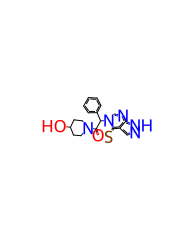 O=C(C(c1ccccc1)n1cnc2[nH]ncc2c1=S)N1CCC(O)CC1